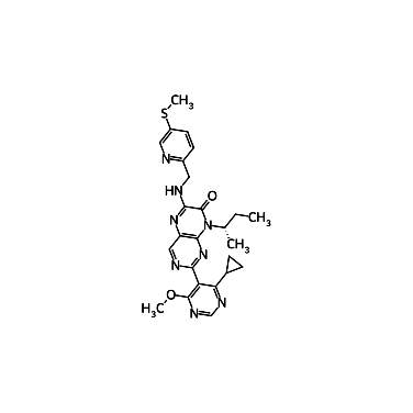 CC[C@H](C)n1c(=O)c(NCc2ccc(SC)cn2)nc2cnc(-c3c(OC)ncnc3C3CC3)nc21